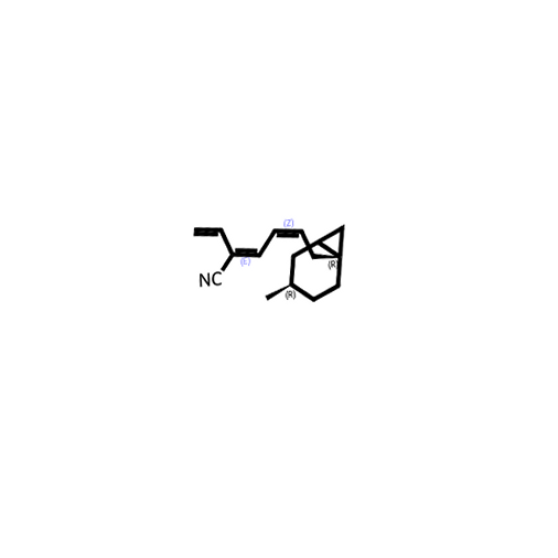 C=C/C(C#N)=C\C=C/C[C@@]12CC[C@@H](C)CC1C2